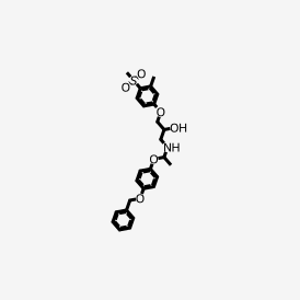 Cc1cc(OCC(O)CNC(C)Oc2ccc(OCc3ccccc3)cc2)ccc1S(C)(=O)=O